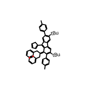 Cc1ccc(-c2cc3c(cc2C(C)(C)C)-c2cc(C(C)(C)C)c(-c4ccc(C)cc4)c(=C(Cc4ccccc4)Cc4ccccc4)c2=C3C2=CC=CC2)cc1